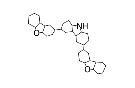 C1CCC2C(C1)OC1CCC(C3CCC4NC5CCC(C6CCC7OC8CCCCC8C7C6)CC5C4C3)CC12